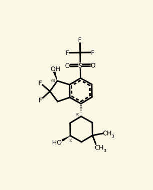 CC1(C)C[C@@H](O)C[C@H](c2ccc(S(=O)(=O)C(F)(F)F)c3c2CC(F)(F)[C@H]3O)C1